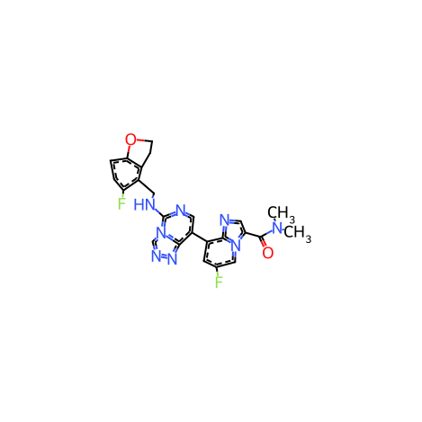 CN(C)C(=O)c1cnc2c(-c3cnc(NCc4c(F)ccc5c4CCO5)n4cnnc34)cc(F)cn12